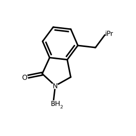 BN1Cc2c(CC(C)C)cccc2C1=O